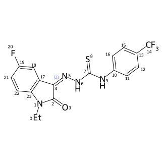 CCN1C(=O)/C(=N\NC(=S)Nc2ccc(C(F)(F)F)cc2)c2cc(F)ccc21